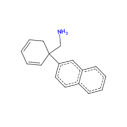 NCC1(c2ccc3ccccc3c2)C=CC=CC1